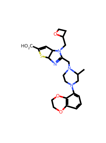 CC1CN(c2cccc3c2OCCO3)CCN1CC1=NC2SC(C(=O)O)=CC2N1CC1CCO1